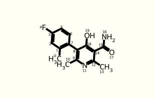 Cc1cc(F)ccc1-c1c(C)nc(C)c(C(N)=O)c1O